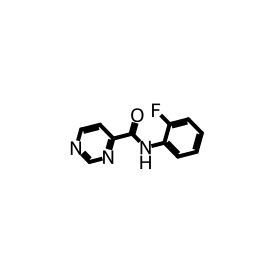 O=C(Nc1ccccc1F)c1ccncn1